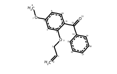 C=CCOc1cc(OC)ccc1C(=O)c1ccccc1